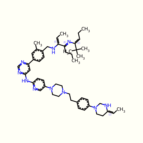 C/C=C1/CCN(c2ccc(CCN3CCN(c4ccc(Nc5cc(-c6ccc(CNC(=C/C)/C(CCC)=N/C(=C\CC)C(C)(C)C)c(C)c6)ncn5)nc4)CC3)cc2)CN1